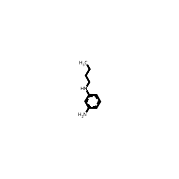 CCCCNc1cccc(N)c1